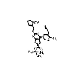 CN1CCCC1COc1nc2c(c(N3CCN(N)C(CC#N)C3)n1)CN(C(=O)OC(C)(C)C)C2